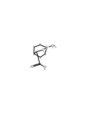 C[N+]12CCC(CC1)C(C(=O)Cl)C2